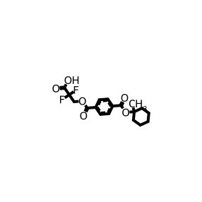 CC1(OC(=O)c2ccc(C(=O)OCC(F)(F)C(=O)O)cc2)CCCCC1